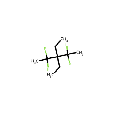 CCC(CC)(C(C)(F)F)C(C)(F)F